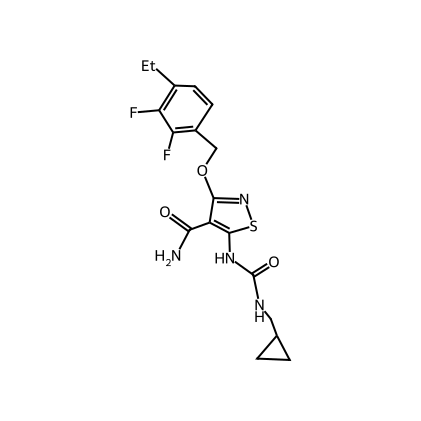 CCc1ccc(COc2nsc(NC(=O)NCC3CC3)c2C(N)=O)c(F)c1F